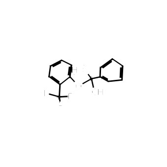 CC(C)(Oc1ccccc1C(F)(F)F)c1ccccc1